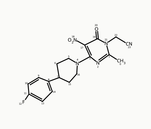 Cc1nc(N2CCC(c3ccc(F)cc3)CC2)c([N+](=O)[O-])c(=O)n1CC#N